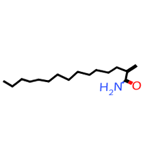 C=C(CCCCCCCCCCCCC)C(N)=O